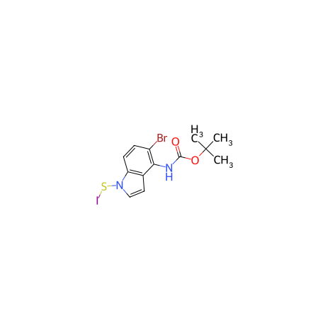 CC(C)(C)OC(=O)Nc1c(Br)ccc2c1ccn2SI